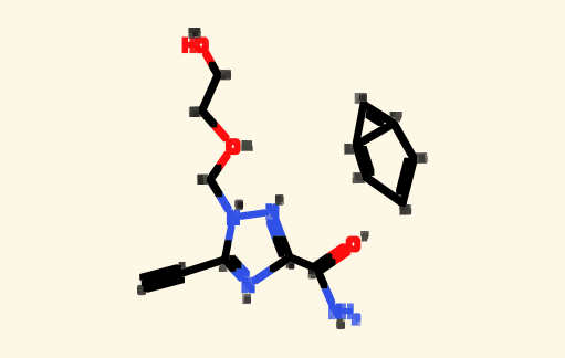 C#Cc1nc(C(N)=O)nn1COCCO.c1cc2cc-2c1